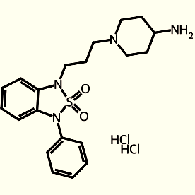 Cl.Cl.NC1CCN(CCCN2c3ccccc3N(c3ccccc3)S2(=O)=O)CC1